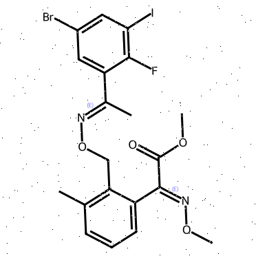 CO/N=C(/C(=O)OC)c1cccc(C)c1CO/N=C(\C)c1cc(Br)cc(I)c1F